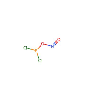 O=NOP(Cl)Cl